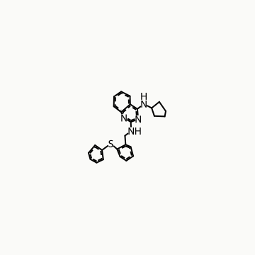 c1ccc(Sc2ccccc2CNc2nc(NC3CCCC3)c3ccccc3n2)cc1